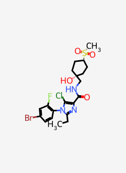 CCc1nc(C(=O)NC[C@]2(O)CC[C@@H](S(C)(=O)=O)CC2)c(Cl)n1-c1ccc(Br)cc1F